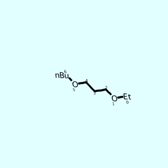 [CH2]COCCCOCCCC